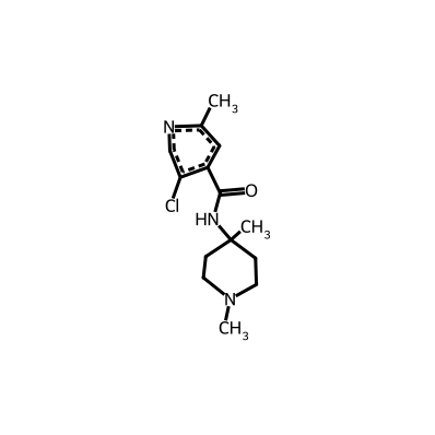 Cc1cc(C(=O)NC2(C)CCN(C)CC2)c(Cl)cn1